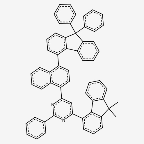 CC1(C)c2ccccc2-c2c(-c3cc(-c4ccc(-c5cccc6c5-c5ccccc5C6(c5ccccc5)c5ccccc5)c5ccccc45)nc(-c4ccccc4)n3)cccc21